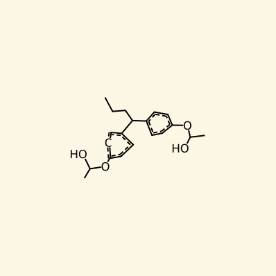 CCCC(c1ccc(OC(C)O)cc1)c1ccc(OC(C)O)cc1